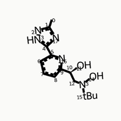 Cc1n[nH]c(-c2cccc([C@@H](O)CN(O)C(C)(C)C)n2)n1